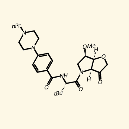 CCCN1CCN(c2ccc(C(=O)N[C@H](C(=O)N3C[C@@H](OC)[C@H]4OCC(=O)[C@H]43)C(C)(C)C)cc2)CC1